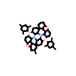 Cc1cc(C)c(B2c3cccc4c3N(c3cccc5c3N4c3c(ccc4oc6cc(C)ccc6c34)B5c3c(C)cc(C)cc3C)c3c2ccc2oc4ccccc4c32)c(C)c1